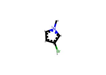 Cn1ccc(Br)c1